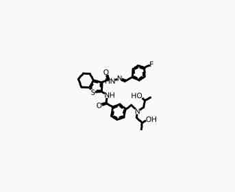 CC(O)CN(Cc1cccc(C(=O)Nc2sc3c(c2C(=O)NN=Cc2ccc(F)cc2)CCCC3)c1)CC(C)O